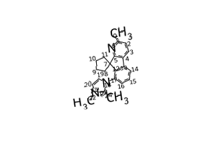 Cc1ccc2c(n1)C1(CCCC1)c1c-2cccc1N1C=CN(C)[C@@H]1C